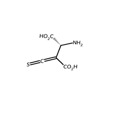 N[C@@H](C(=O)O)C(=C=S)C(=O)O